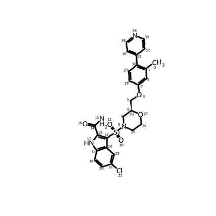 Cc1cc(OC[C@@H]2CN(S(=O)(=O)c3c(C(N)=O)[nH]c4ccc(Cl)cc34)CCO2)ccc1-c1ccncc1